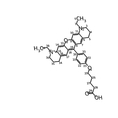 CCN1CCCc2cc3c(cc21)Oc1cc2c(cc1=C3c1ccc(OCCCCC(=O)O)cc1)CCC[N+]=2CC